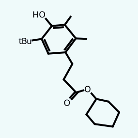 Cc1c(CCC(=O)OC2CCCCC2)cc(C(C)(C)C)c(O)c1C